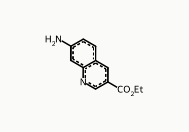 CCOC(=O)c1cnc2cc(N)ccc2c1